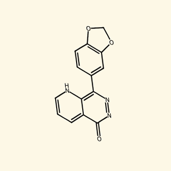 O=c1nnc(-c2ccc3c(c2)OCO3)c2[nH]cccc1-2